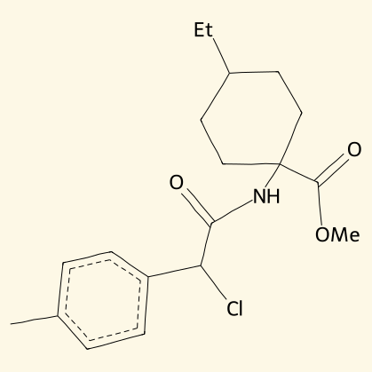 CCC1CCC(NC(=O)C(Cl)c2ccc(C)cc2)(C(=O)OC)CC1